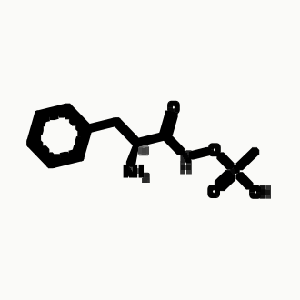 CP(=O)(O)ONC(=O)[C@@H](N)Cc1ccccc1